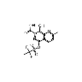 Cc1ccc2c(OS(=O)(=O)C(F)(F)F)nc(C(=O)O)c(O)c2n1